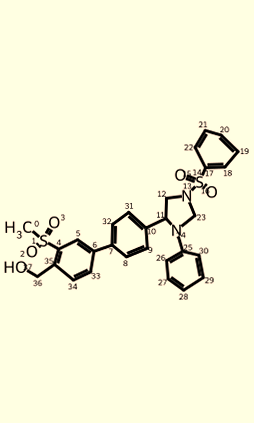 CS(=O)(=O)c1cc(-c2ccc(C3CN(S(=O)(=O)c4ccccc4)CN3c3ccccc3)cc2)ccc1CO